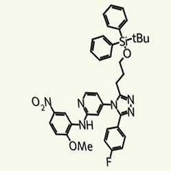 COc1ccc([N+](=O)[O-])cc1Nc1cc(-n2c(CCCO[Si](c3ccccc3)(c3ccccc3)C(C)(C)C)nnc2-c2ccc(F)cc2)ccn1